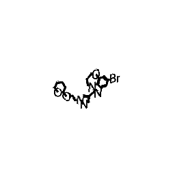 Brc1cc2c3c(c1)nc(-c1cnn(CCOC4CCCCO4)c1)n3CCCO2